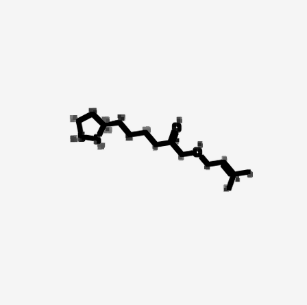 CC(C)=CCOCC(=O)CCCC[C@@H]1CCSS1